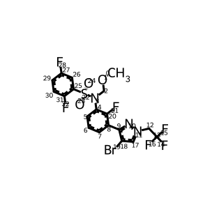 COCN(c1cccc(-c2nn(CC(F)(F)F)cc2Br)c1F)S(=O)(=O)c1cc(F)ccc1F